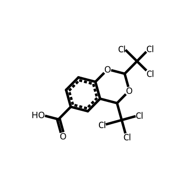 O=C(O)c1ccc2c(c1)C(C(Cl)(Cl)Cl)OC(C(Cl)(Cl)Cl)O2